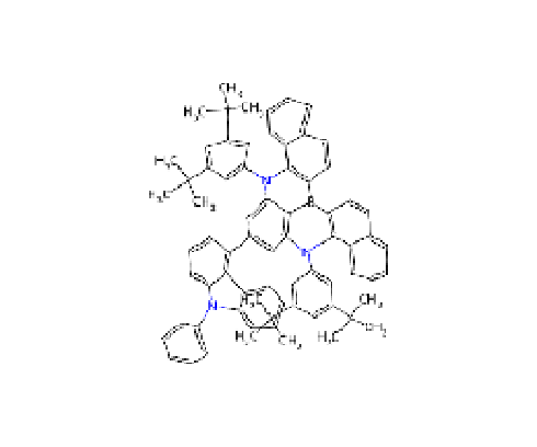 CC(C)(C)c1cc(N2c3cc(-c4cccc5c4c4ccccc4n5-c4ccccc4)cc4c3B(c3ccc5ccccc5c32)c2ccc3ccccc3c2N4c2cc(C(C)(C)C)cc(C(C)(C)C)c2)cc(C(C)(C)C)c1